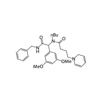 CCCCN(C(=O)CCCN1C=CC=CC1)C(C(=O)NCc1ccccc1)c1cc(OC)cc(OC)c1